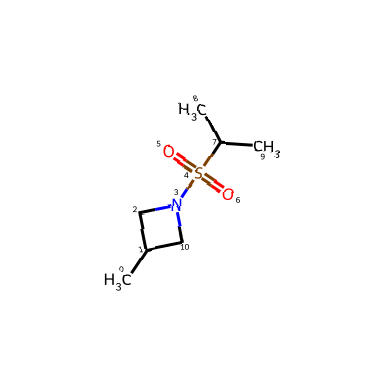 CC1CN(S(=O)(=O)C(C)C)C1